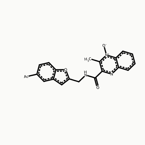 CC(=O)c1ccc2oc(CNC(=O)c3nc4ccccc4[n+]([O-])c3C)cc2c1